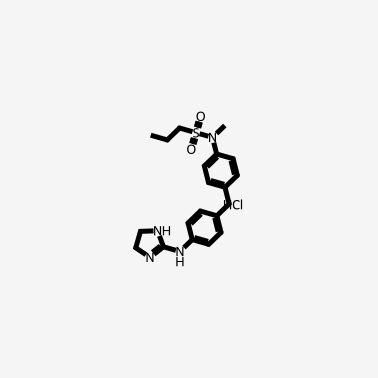 CCCS(=O)(=O)N(C)c1ccc(Cc2ccc(NC3=NCCN3)cc2)cc1.Cl